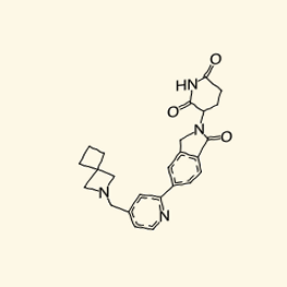 O=C1CCC(N2Cc3cc(-c4cc(CN5CC6(CCC6)C5)ccn4)ccc3C2=O)C(=O)N1